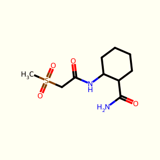 CS(=O)(=O)CC(=O)NC1CCCCC1C(N)=O